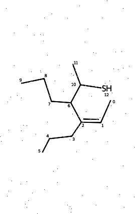 C/C=C(/CCC)C(CCC)C(C)S